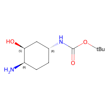 CC(C)(C)OC(=O)N[C@@H]1CC[C@@H](N)[C@@H](O)C1